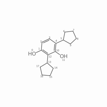 Oc1ccc(C2CCCC2)c(O)c1C1CCCC1